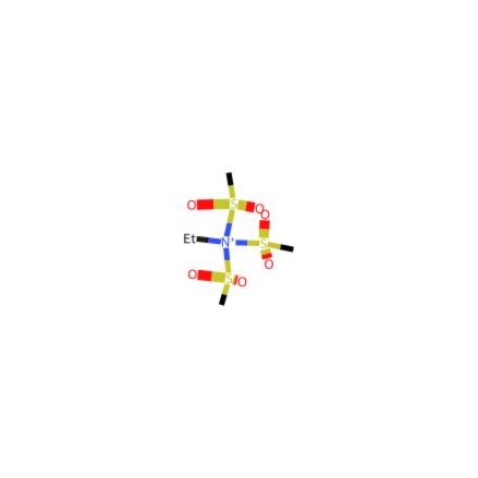 CC[N+](S(C)(=O)=O)(S(C)(=O)=O)S(C)(=O)=O